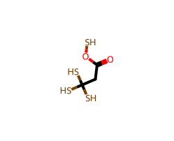 O=C(CC(S)(S)S)OS